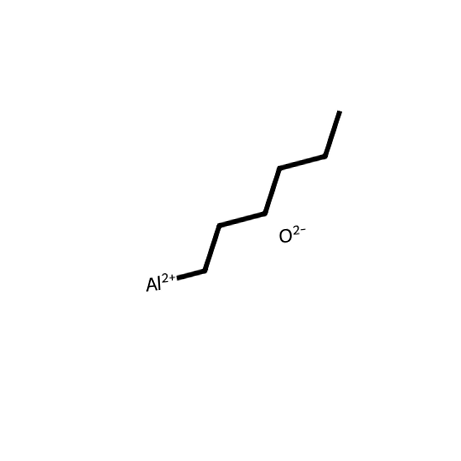 CCCCC[CH2][Al+2].[O-2]